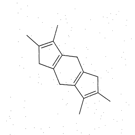 CC1=C(C)C2=C(C1)CC1=C(CC(C)=C1C)C2